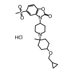 CC1(N2CCC(n3c(=O)oc4ccc(S(C)(=O)=O)cc43)CC2)CCC(OCC2CC2)CC1.Cl